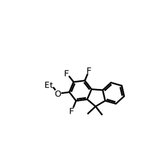 CCOc1c(F)c(F)c2c(c1F)C(C)(C)c1ccccc1-2